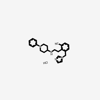 Cl.N#Cc1cccc(Cn2ccnc2)c1CCNC1CCN(c2ccccc2)CC1